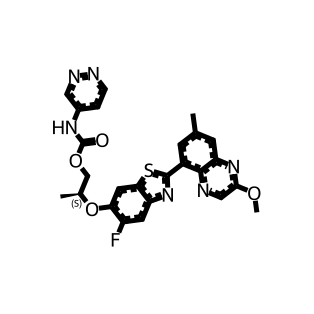 COc1cnc2c(-c3nc4cc(F)c(O[C@@H](C)COC(=O)Nc5ccnnc5)cc4s3)cc(C)cc2n1